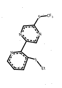 CCSc1cccnc1-c1cnc(SC(F)(F)F)cn1